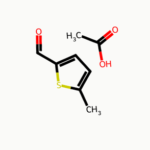 CC(=O)O.Cc1ccc(C=O)s1